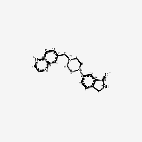 O=C1NCc2ccc(N3CCN(Cc4ccc5nccnc5c4)CC3)cc21